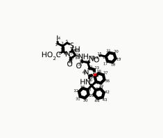 O=C(O)C1=C(CI)CS[C@H]2[C@H](NC(=O)C(=NOCc3ccccc3)c3csc(NC(c4ccccc4)(c4ccccc4)c4ccccc4)n3)C(=O)N12